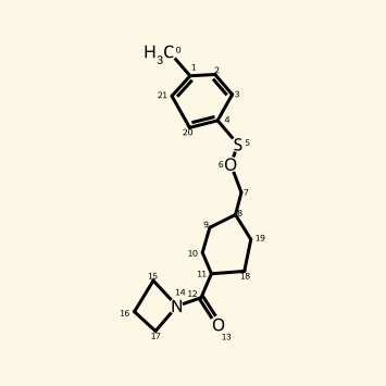 Cc1ccc(SOCC2CCC(C(=O)N3CCC3)CC2)cc1